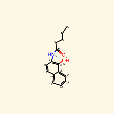 CCCCC(=O)Nc1ccc2ccccc2c1O